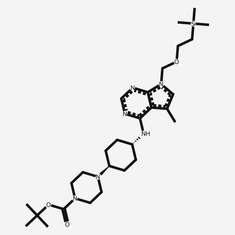 Cc1cn(COCC[Si](C)(C)C)c2ncnc(N[C@H]3CC[C@H](N4CCN(C(=O)OC(C)(C)C)CC4)CC3)c12